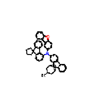 CCC1CC2CCCC(C1)C21c2ccccc2-c2ccc(N(c3ccc4oc5ccccc5c4c3)c3cccc4c3-c3ccccc3C43CCCC3)cc21